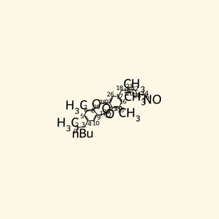 CCCCC(C)Cc1cc(C)c2c(c1)C1Oc3c(C)cc(CC(C)(C)CCCN=O)cc3C(O2)O1